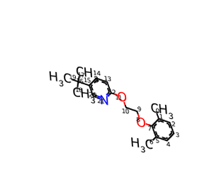 Cc1cccc(C)c1OCCOc1ccc(C(C)(C)C)cn1